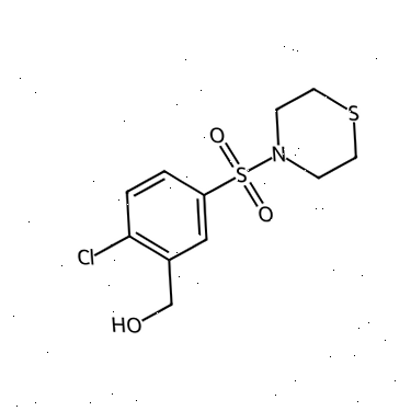 O=S(=O)(c1ccc(Cl)c(CO)c1)N1CCSCC1